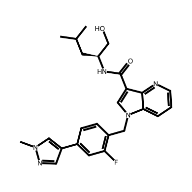 CC(C)C[C@@H](CO)NC(=O)c1cn(Cc2ccc(-c3cnn(C)c3)cc2F)c2cccnc12